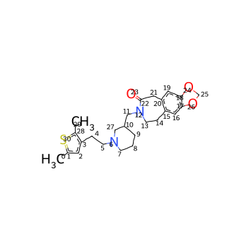 Cc1cc(CCN2CCCC(CN3CCc4cc5c(cc4CC3=O)OCO5)C2)c(C)s1